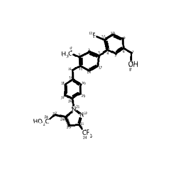 Cc1cc(-c2cc(CO)ccc2F)ccc1Cc1ccc(N2N=C(C(F)(F)F)CC2CC(=O)O)cc1